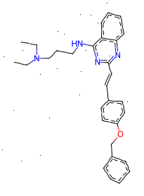 CCN(CC)CCCNc1nc(C=Cc2ccc(OCc3ccccc3)cc2)nc2ccccc12